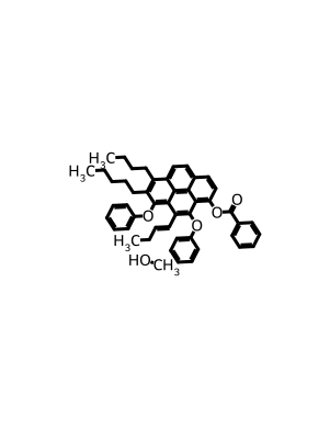 CCC=Cc1c(Oc2ccccc2)c2c(OC(=O)c3ccccc3)ccc3ccc4c(CCCC)c(CCCCC)c(Oc5ccccc5)c1c4c32.CO